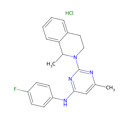 Cc1cc(Nc2ccc(F)cc2)nc(N2CCc3ccccc3C2C)n1.Cl